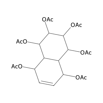 CC(=O)OC1C=CC(OC(C)=O)C2C(OC(C)=O)C(OC(C)=O)C(OC(C)=O)C(OC(C)=O)C12